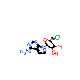 Nc1ncnc2c1ccn2[C@@H]1O[C@H](CCl)[C@@H](O)[C@H]1O